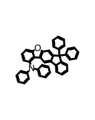 c1ccc(N(c2ccccc2)c2cccc3oc4cc5c(cc4c23)-c2ccccc2C5(c2ccccc2)c2ccccc2)cc1